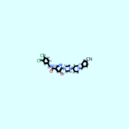 N#Cc1ccc(CN2CCC(N3CCN(c4ncc(C(=O)NCc5ccc(Cl)c(Cl)c5)cc4Br)CC3)CC2)cc1